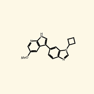 COc1cnc2[nH]cc(-c3ccc4ncn(C5CCC5)c4c3)c2c1